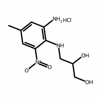 Cc1cc(N)c(NCC(O)CO)c([N+](=O)[O-])c1.Cl